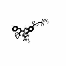 NC(=O)COC(=O)c1ccc2c(c1)nc(C(Cc1ccccc1)C1=COCO1)n1nc(N)nc21